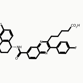 O=C(O)CCCCc1nc2cc(C(=O)N[C@@H]3CCCc4cc(Cl)ccc43)ccc2nc1-c1ccc(F)cc1